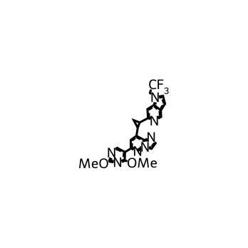 COc1ncc(-c2cc(C3CC3c3cc4c(ccn4CC(F)(F)F)cn3)c3nccn3n2)c(OC)n1